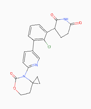 O=C1CCC(c2cccc(-c3ccc(N4C(=O)OCCC45CC5)nc3)c2Cl)C(=O)N1